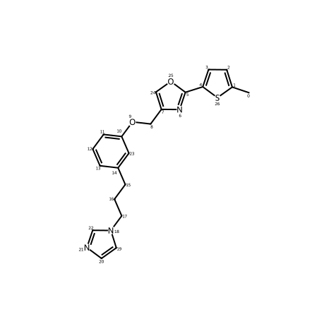 Cc1ccc(-c2nc(COc3cccc(CCCn4ccnc4)c3)co2)s1